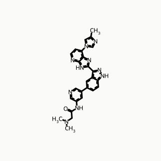 Cc1cn(-c2ccnc3[nH]c(-c4n[nH]c5ccc(-c6cncc(NC(=O)CN(C)C)c6)cc45)nc23)cn1